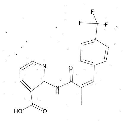 CC(=Cc1ccc(C(F)(F)F)cc1)C(=O)Nc1ncccc1C(=O)O